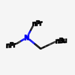 [CH2]CCCCN(CCC)CCC